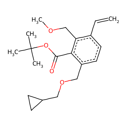 C=Cc1ccc(COCC2CC2)c(C(=O)OC(C)(C)C)c1COC